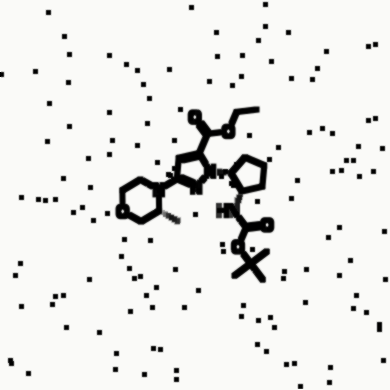 CCOC(=O)c1cc(N2CCOC[C@H]2C)nn1[C@@H]1CCC[C@@H]1NC(=O)OC(C)(C)C